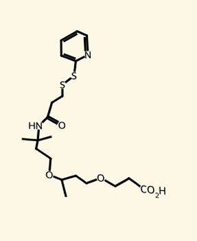 CC(CCOCCC(=O)O)OCCC(C)(C)NC(=O)CCSSc1ccccn1